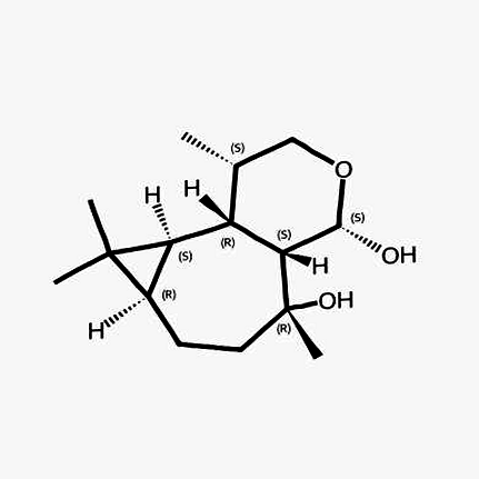 C[C@@H]1CO[C@H](O)[C@H]2[C@@H]1[C@H]1[C@@H](CC[C@@]2(C)O)C1(C)C